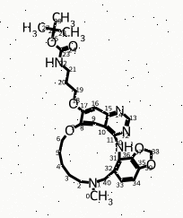 CN1CCCCCOc2cc3c(ncnc3cc2OCCCNC(=O)OC(C)(C)C)Nc2c(ccc3c2OCO3)C1